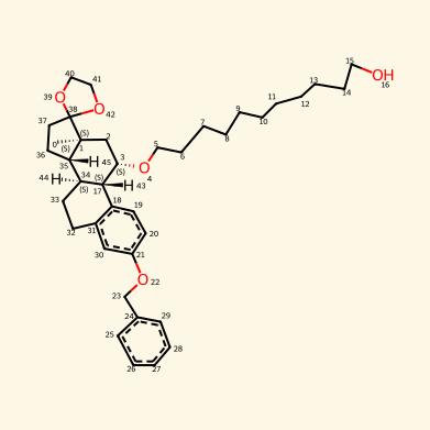 C[C@]12C[C@H](OCCCCCCCCCCCO)[C@@H]3c4ccc(OCc5ccccc5)cc4CC[C@H]3[C@@H]1CCC21OCCO1